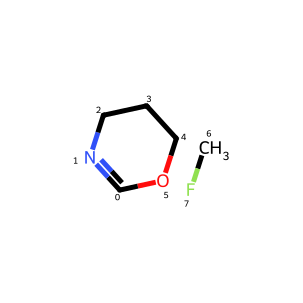 C1=NCCCO1.CF